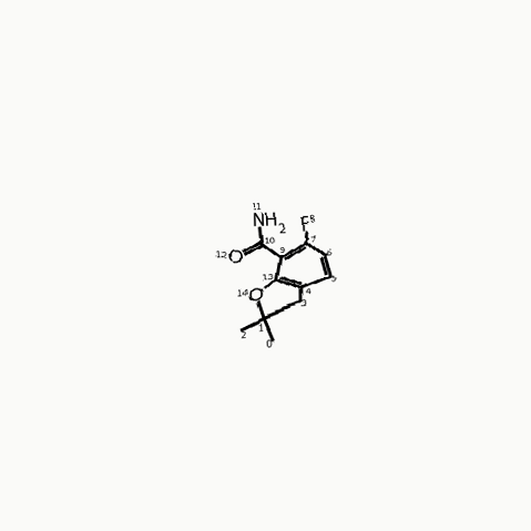 CC1(C)Cc2ccc(F)c(C(N)=O)c2O1